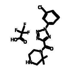 CC1(C)CNCCN1C(=O)c1nnn(-c2cccc(Cl)c2)n1.O=C(O)C(F)(F)F